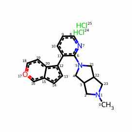 CN1CC2CN(c3ncccc3-c3ccc4coccc3-4)CC2C1.Cl.Cl